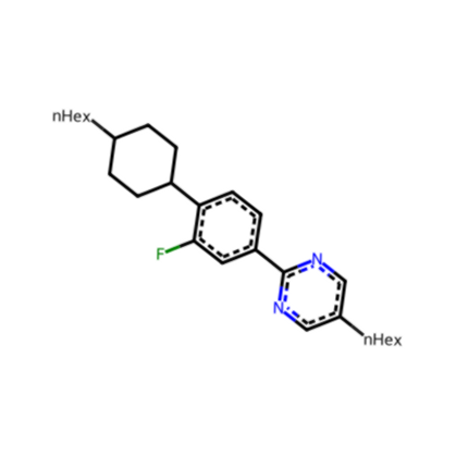 CCCCCCc1cnc(-c2ccc(C3CCC(CCCCCC)CC3)c(F)c2)nc1